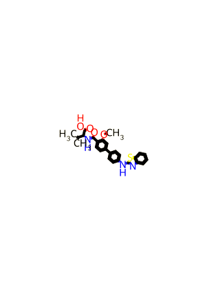 COc1cc(-c2ccc(Nc3nc4ccccc4s3)cc2)ccc1C(=O)N[C@H](C(=O)O)C(C)C